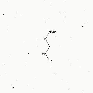 CCNCN(C)NC